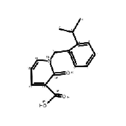 CC(C)c1ccccc1Cn1cccc(C(=O)O)c1=O